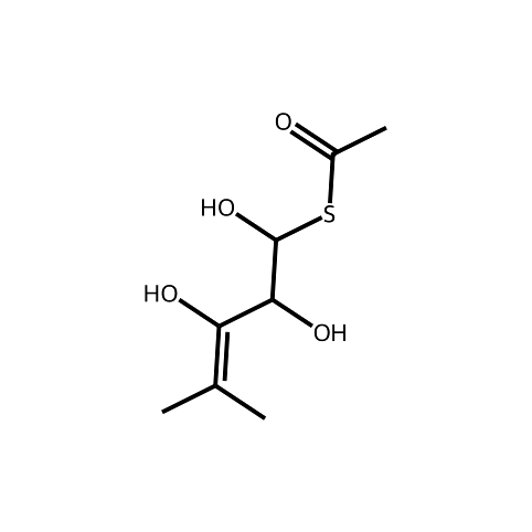 CC(=O)SC(O)C(O)C(O)=C(C)C